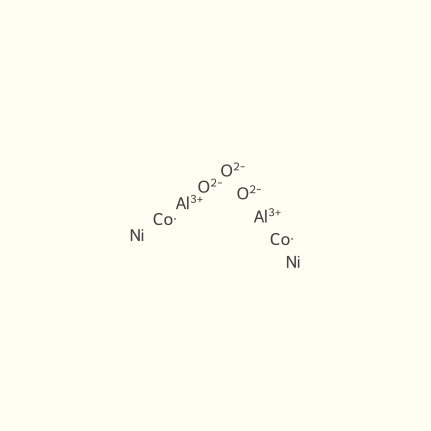 [Al+3].[Al+3].[Co].[Co].[Ni].[Ni].[O-2].[O-2].[O-2]